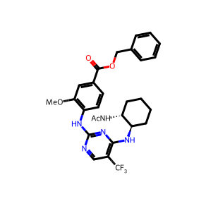 COc1cc(C(=O)OCc2ccccc2)ccc1Nc1ncc(C(F)(F)F)c(N[C@@H]2CCCC[C@H]2NC(C)=O)n1